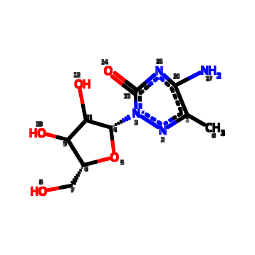 Cc1nn([C@@H]2O[C@H](CO)C(O)C2O)c(=O)nc1N